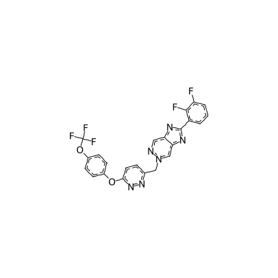 Fc1cccc(-c2nc3cnn(Cc4ccc(Oc5ccc(OC(F)(F)F)cc5)nn4)cc-3n2)c1F